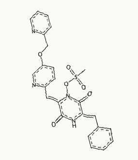 CS(=O)(=O)On1c(=O)c(=Cc2ccccc2)[nH]c(=O)c1=Cc1ccc(OCc2ccccn2)cn1